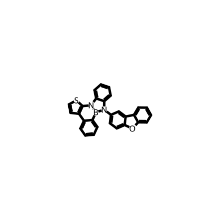 c1ccc2c(c1)B1N(c3ccc4oc5ccccc5c4c3)c3ccccc3N1c1sccc1-2